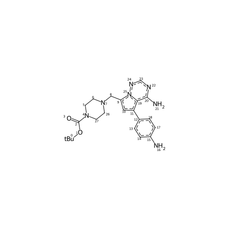 CC(C)(C)OC(=O)N1CCN(Cc2cc(-c3ccc(N)cc3)c3c(N)ncnn23)CC1